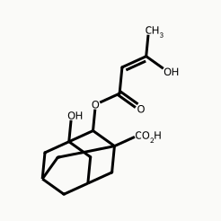 CC(O)=CC(=O)OC1C2(O)CC3CC(C2)CC1(C(=O)O)C3